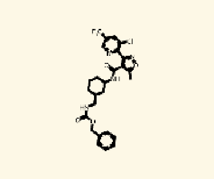 Cc1onc(-c2ncc(C(F)(F)F)cc2Cl)c1C(=O)NC1CCCC(CNC(=O)OCc2ccccc2)C1